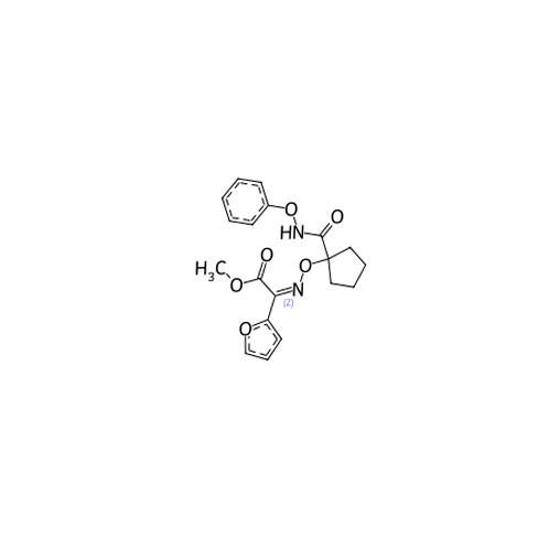 COC(=O)/C(=N\OC1(C(=O)NOc2ccccc2)CCCC1)c1ccco1